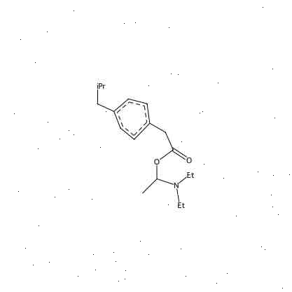 CCN(CC)C(C)OC(=O)Cc1ccc(CC(C)C)cc1